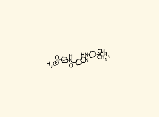 COC(=O)C12CCC(NC(=O)c3ccc4cnc(N[C@H]5CC[C@H](C(C)(C)C)CC5)cc4c3)(CC1)CC2